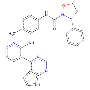 Cc1ccc(NC(=O)N2OCC[C@@H]2c2ccccc2)cc1Nc1ncccc1-c1ncnc2[nH]ccc12